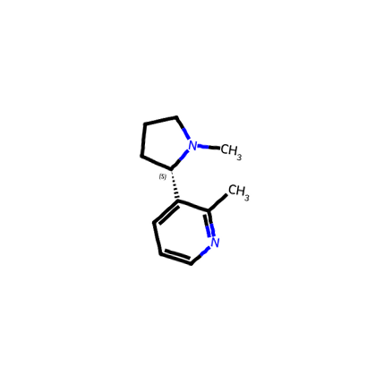 Cc1ncccc1[C@@H]1CCCN1C